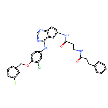 O=C(CCc1ccccc1)NCCC(=O)Nc1ccc2ncnc(Nc3ccc(OCc4cccc(F)c4)c(Cl)c3)c2c1